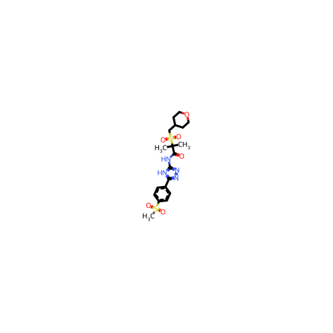 CC(C)(C(=O)Nc1nnc(-c2ccc(S(C)(=O)=O)cc2)[nH]1)S(=O)(=O)CC1CCOCC1